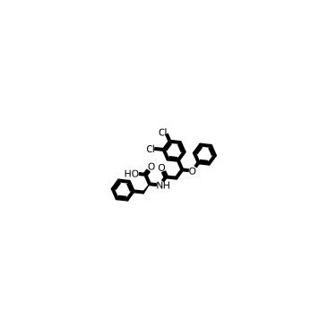 O=C(CC(Oc1ccccc1)c1ccc(Cl)c(Cl)c1)N[C@@H](Cc1ccccc1)C(=O)O